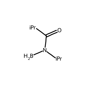 BN(C(=O)C(C)C)C(C)C